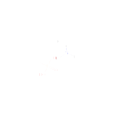 CCN(CC)CC.O=P([O-])(O)O.[K+]